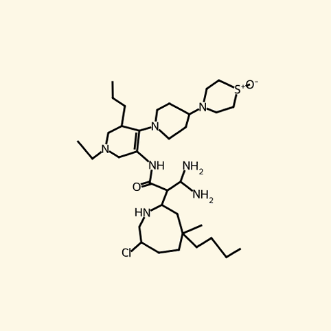 CCCCC1(C)CCC(Cl)CNC(C(C(=O)NC2=C(N3CCC(N4CC[S+]([O-])CC4)CC3)C(CCC)CN(CC)C2)C(N)N)C1